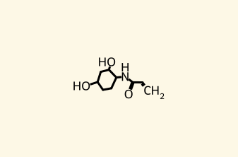 C=CC(=O)NC1CCC(O)CC1O